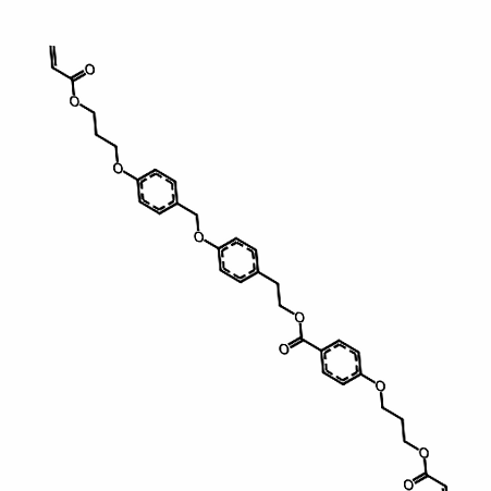 C=CC(=O)OCCCOc1ccc(COc2ccc(CCOC(=O)c3ccc(OCCCOC(=O)C=C)cc3)cc2)cc1